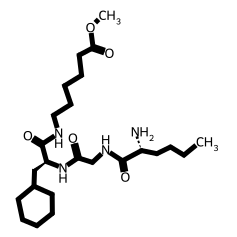 CCCC[C@@H](N)C(=O)NCC(=O)N[C@@H](CC1CCCCC1)C(=O)NCCCCCC(=O)OC